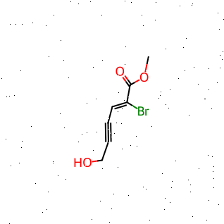 COC(=O)C(Br)=CC#CCO